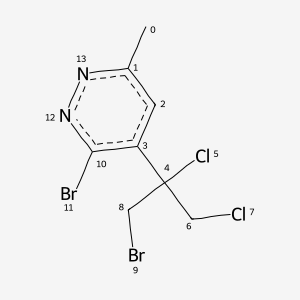 Cc1cc(C(Cl)(CCl)CBr)c(Br)nn1